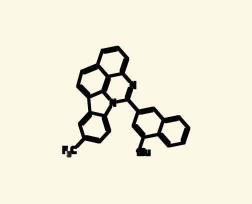 CC(C)(C)c1cc(-c2nc3cccc4ccc5c6cc(C(F)(F)F)ccc6n2c5c43)cc2ccccc12